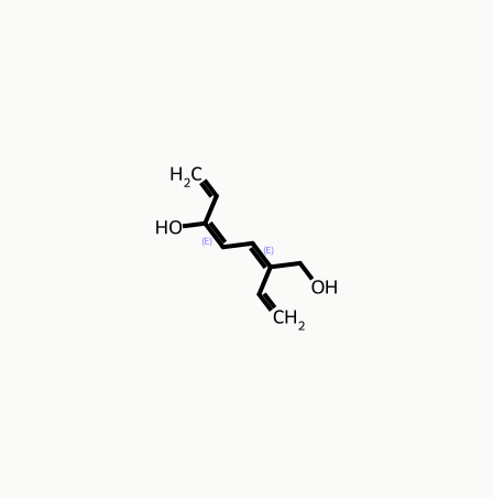 C=C/C(O)=C\C=C(/C=C)CO